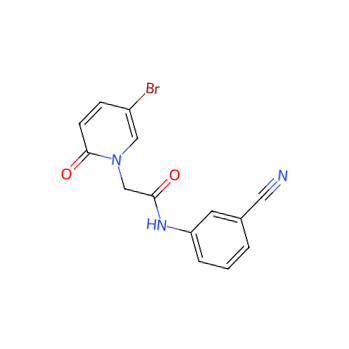 N#Cc1cccc(NC(=O)Cn2cc(Br)ccc2=O)c1